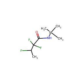 CC(F)C(F)(F)C(=O)N[Si](C)(C)C